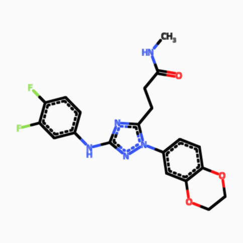 CNC(=O)CCc1nc(Nc2ccc(F)c(F)c2)nn1-c1ccc2c(c1)OCCO2